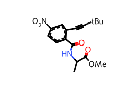 COC(=O)C(C)NC(=O)c1ccc([N+](=O)[O-])cc1C#CC(C)(C)C